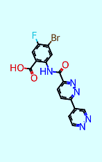 O=C(Nc1cc(Br)c(F)cc1C(=O)O)c1ccc(-c2ccnnc2)nn1